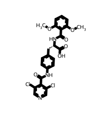 COc1cccc(OC)c1C(=O)N[C@@H](Cc1ccc(NC(=O)c2c(Cl)cncc2Cl)cc1)C(=O)O